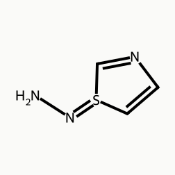 NN=S1C=CN=C1